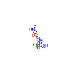 CN(C[C@H]1COc2cc(NC3CCC3)ccc2O1)c1ncc2c3[nH]ncc3c(=O)n(-c3ccccc3F)c2n1